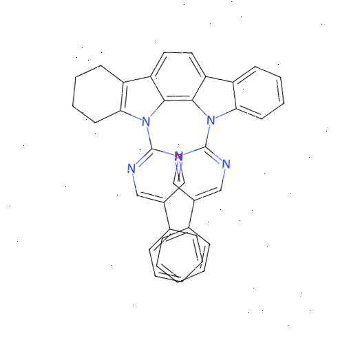 c1ccc(-c2cnc(-n3c4c(c5ccc6c7ccccc7n(-c7ncc(-c8ccccc8)cn7)c6c53)CCCC4)nc2)cc1